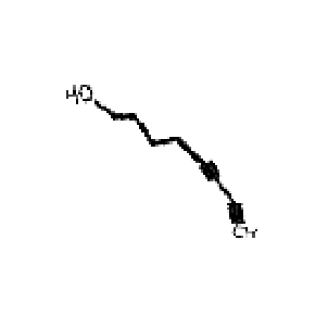 C#CC#CCCCCO